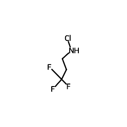 FC(F)(F)CCNCl